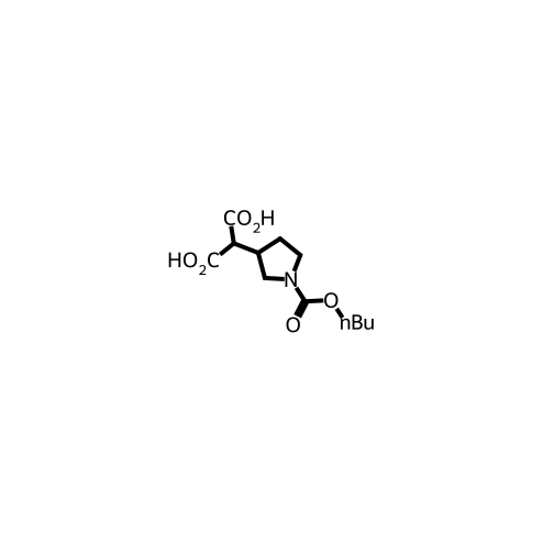 CCCCOC(=O)N1CCC(C(C(=O)O)C(=O)O)C1